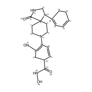 O=NC1=C(N2CCC3(CC2)C(=O)NCN3C2=CC=CCC2)C=CC(C(=O)NO)C1